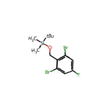 CC(C)(C)[Si](C)(C)OCc1c(Br)cc(F)cc1Br